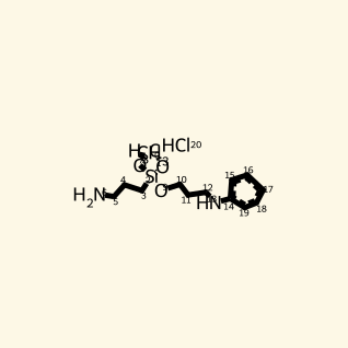 CO[Si](CCCN)(OC)OCCCNc1ccccc1.Cl